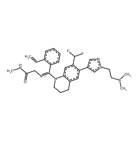 C=Cc1ccccc1/C(=N\CC(=O)NC)N1CCCc2cc(-c3cnn(CCN(C)C)c3)c(C(F)F)cc21